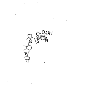 COC[C@H]1N(c2nc(-c3cccc(C)c3OCc3ccc4c(c3C)CCN(C3CCOCC3)C4)cs2)C[C@@H]2C[C@@]21C(=O)O